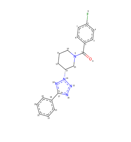 O=C(c1ccc(F)cc1)N1CCC[C@@H](n2nnc(-c3ccccc3)n2)C1